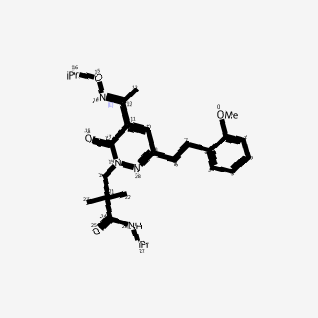 COc1ccccc1CCc1cc(/C(C)=N/OC(C)C)c(=O)n(CC(C)(C)C(=O)NC(C)C)n1